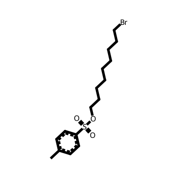 Cc1ccc(S(=O)(=O)OCCCCCCCCCBr)cc1